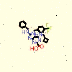 C[C@H](Nc1nc2nc(C(=O)O)nc(N[C@H](C)C3CCC3)c2n1Cc1ccc(C(F)(F)F)cc1)c1ccccc1